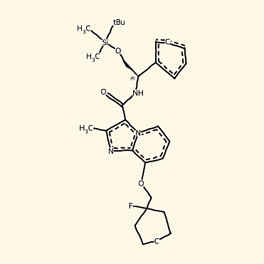 Cc1nc2c(OCC3(F)CCCCC3)cccn2c1C(=O)N[C@@H](CO[Si](C)(C)C(C)(C)C)c1ccccc1